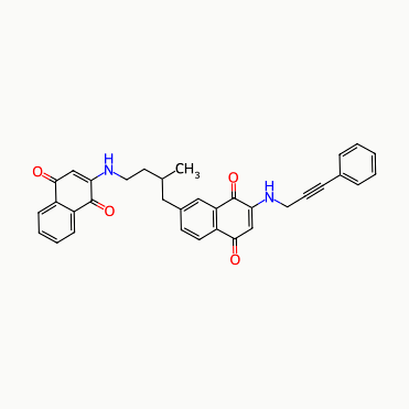 CC(CCNC1=CC(=O)c2ccccc2C1=O)Cc1ccc2c(c1)C(=O)C(NCC#Cc1ccccc1)=CC2=O